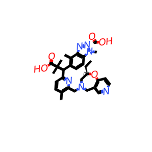 CC[C@@H]1CN(Cc2nc(C(c3ccc4c(nnn4C)c3C)C(C)(C)C(=O)O)ccc2C)Cc2cnccc2O1.O=CO